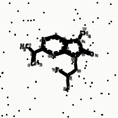 C=C(C)c1ncc2c(n1)n(CC(F)F)c(=O)n2C